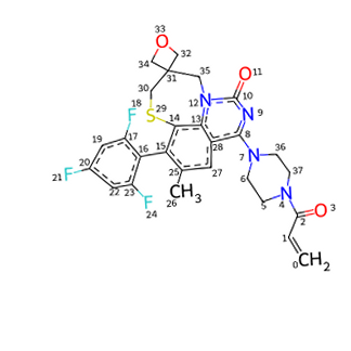 C=CC(=O)N1CCN(c2nc(=O)n3c4c(c(-c5c(F)cc(F)cc5F)c(C)cc24)SCC2(COC2)C3)CC1